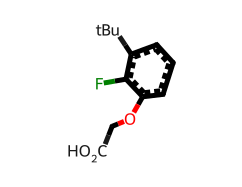 CC(C)(C)c1cccc(OCC(=O)O)c1F